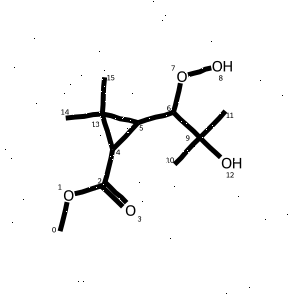 COC(=O)C1C(C(OO)C(C)(C)O)C1(C)C